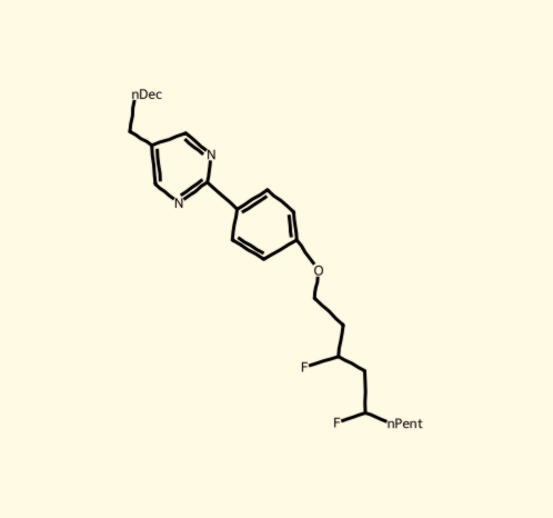 CCCCCCCCCCCc1cnc(-c2ccc(OCCC(F)CC(F)CCCCC)cc2)nc1